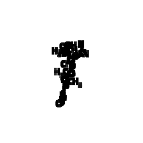 Cc1c(COc2cc(OCc3cncc(C#N)c3)c(CNC(C)(C)C(=O)O)cc2Cl)cccc1-c1cccc(OCCCN2CCC3(CCOC3)C2)c1C